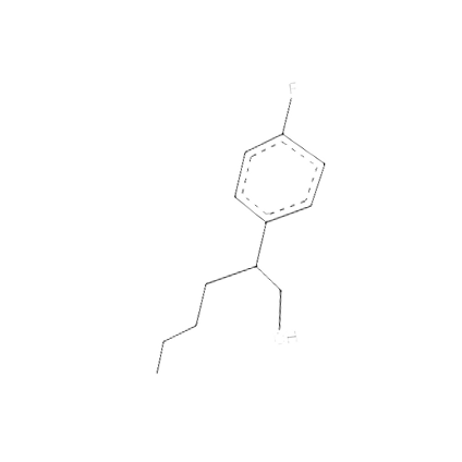 CCCCC(CO)c1ccc(F)cc1